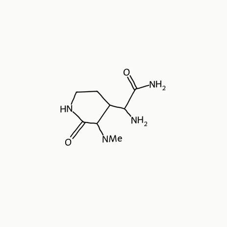 CNC1C(=O)NCCC1C(N)C(N)=O